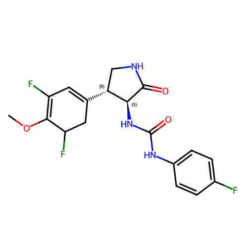 COC1=C(F)C=C([C@@H]2CNC(=O)[C@H]2NC(=O)Nc2ccc(F)cc2)CC1F